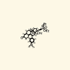 CCOP(=O)(C#C[C@]1(O)CC[C@H]2[C@@H]3CCC4=CC(=O)CCC4=C3[C@@H](c3ccc(N(C)C)cc3)C[C@@]21C)OCC